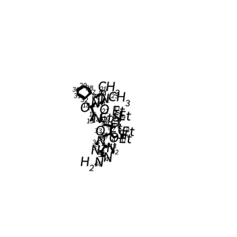 CC[Si](CC)(CC)OC1[C@@H](O[Si](CC)(CC)CC)[C@@H](CN2CC2C(=O)N2C(=O)N(C)[C@@H](C)[C@H]2c2ccccc2)O[C@H]1n1cnc2c(N)ncnc21